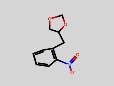 O=[N+]([O-])c1ccc[c]c1CC1COCO1